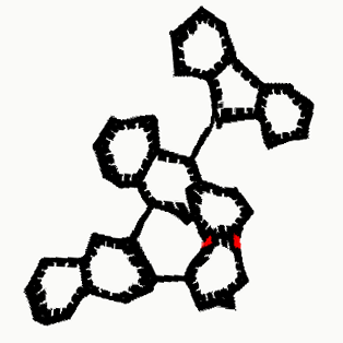 c1ccc(-c2cc3ccccc3cc2-c2c3ccccc3c(-n3c4ccccc4c4ccccc43)c3ccccc23)cc1